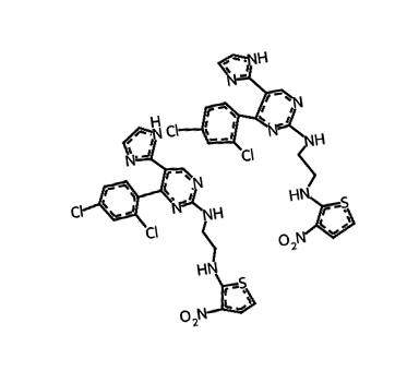 O=[N+]([O-])c1ccsc1NCCNc1ncc(-c2ncc[nH]2)c(-c2ccc(Cl)cc2Cl)n1.O=[N+]([O-])c1ccsc1NCCNc1ncc(-c2ncc[nH]2)c(-c2ccc(Cl)cc2Cl)n1